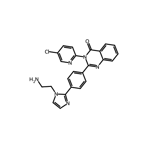 NCCn1ccnc1-c1ccc(-c2nc3ccccc3c(=O)n2-c2ccc(Cl)cn2)cc1